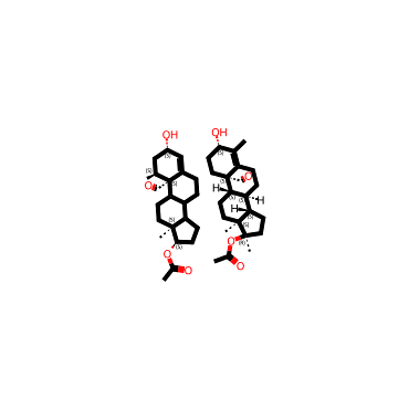 CC(=O)O[C@H]1CCC2C3CCC4=C[C@@H](O)C[C@H](C)[C@]4(C=O)C3CC[C@@]21C.CC(=O)O[C@]1(C)CC[C@H]2[C@@H]3CCC4=C(C)[C@@H](O)CC[C@]4(C=O)[C@H]3CC[C@@]21C